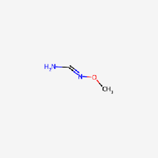 CO/N=[C]/N